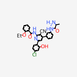 CCOc1ccccc1C(=O)Nc1nc(-c2ccc(Cl)cc2O)cc(-c2cccc(NC(=O)C(C)N)c2)c1C#N